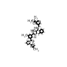 Cc1cc(C(=O)N[C@@H](Cc2ccccc2)[C@@H](O)CNCc2cncc(C(C)(C)C)c2)cc(C(=O)N2CCC[C@@H]2c2nc(C)co2)c1